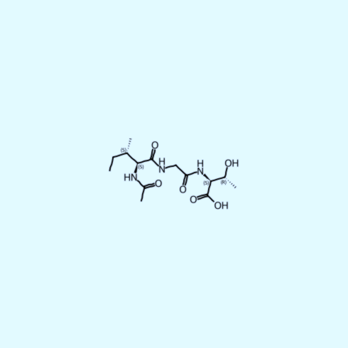 CC[C@H](C)[C@H](NC(C)=O)C(=O)NCC(=O)N[C@H](C(=O)O)[C@@H](C)O